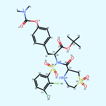 CN(C)C(=O)Oc1ccc(C[C@@H](C(=O)OC(C)(C)C)N(C(=O)C2CS(=O)(=O)CCN2)S(=O)(=O)c2cccc(Cl)c2F)cc1